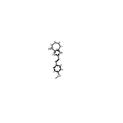 COc1ccc(/C=C/c2nc3c(s2)NCCCC3)cc1